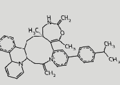 C=C1NC[C@]2(C)CCC3c4ccccc4C4C=CC=CN4C3CC(=C)[n+]3ccc(-c4ccc(C(C)C)cc4)cc3C2=C(C)O1